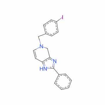 Ic1ccc(CN2C=Cc3[nH]c(-c4ccccc4)nc3C2)cc1